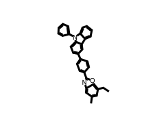 CCc1cc(C)cc2nc(-c3ccc(-c4ccc5c(c4)c4ccccc4n5-c4ccccc4)cc3)oc12